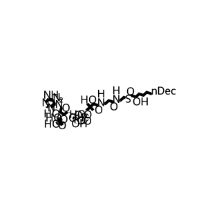 CCCCCCCCCCCCCCC(O)C(=O)SCCNC(=O)CCNC(=O)[C@H](O)C(C)(C)COP(=O)(O)OP(=O)(O)OC[C@H]1O[C@@H](n2cnc3c(N)ncnc32)[C@H](O)[C@@H]1OP(=O)(O)O